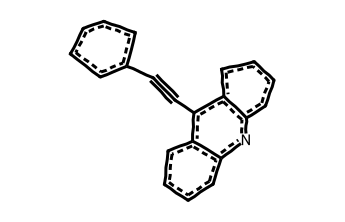 C(#Cc1c2ccccc2nc2ccccc12)c1ccccc1